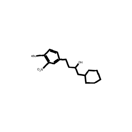 CC(C)(C)c1ccc(CCC(O)CC2CCCCC2)cc1[N+](=O)[O-]